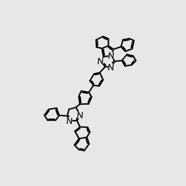 c1ccc(C2=NC(c3ccc4ccccc4c3)=NC(c3ccc(-c4ccc(-c5nc(-c6ccccc6)n6c(-c7ccccc7)c7ccccc7c6n5)cc4)cc3)C2)cc1